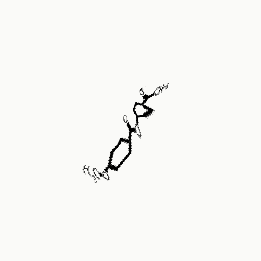 COC1CCC(C(=O)OC2CCC(C(=O)O)CC2)CC1